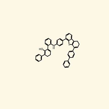 OC1=C(c2ccccc2)CCC=C1c1ccccc1Nc1ccc(-c2cccc3c4c(sc23)C(c2ccc(-c3ccccc3)cc2)=CCC4)cc1